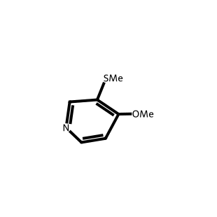 COc1ccncc1SC